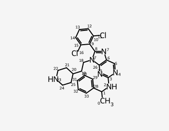 CC(Nc1ncc2nc(-c3c(Cl)cccc3Cl)n(CCC3CCNCC3)c2n1)c1ccccc1